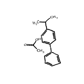 CC(=O)O.CC(C)c1ccc(-c2ccccc2)cc1